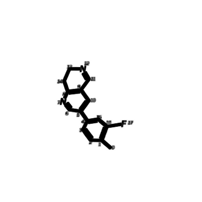 Cc1ccc(-c2cnc3c(c2)C=NCC3)cc1F